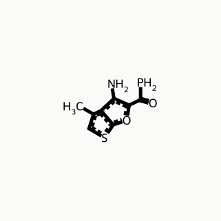 Cc1csc2oc(C(=O)P)c(N)c12